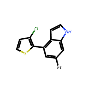 CCc1cc(-c2sccc2Cl)c2cc[nH]c2c1